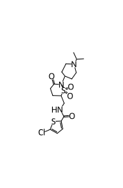 CC(C)N1CCC(N2C(=O)CCC(CNC(=O)c3ccc(Cl)s3)S2(=O)=O)CC1